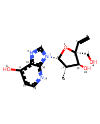 C=C[C@]1(CO)O[C@@H](n2cnc3c(O)ccnc32)[C@@H](C)[C@@H]1O